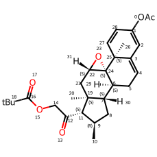 CC(=O)OC1=CC2=CC[C@H]3[C@@H]4C[C@@H](C)[C@H](C(=O)COC(=O)C(C)(C)C)[C@@]4(C)C[C@@H]4O[C@@]43[C@@]2(C)C=C1